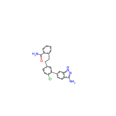 NC(=O)c1ccccc1C[CH]c1ccc(Cl)c(-c2ccc3c(N)n[nH]c3c2)c1